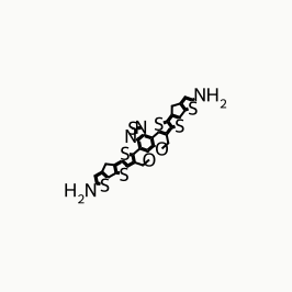 Nc1cc2c(s1)-c1sc3c4c(sc3c1C2)-c1c(c2c(c3nsnc13)-c1sc3c5c(sc3c1CO2)-c1sc(N)cc1C5)OC4